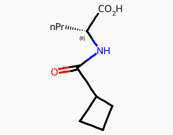 CCC[C@@H](NC(=O)C1CCC1)C(=O)O